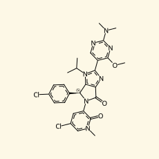 COc1nc(N(C)C)ncc1-c1nc2c(n1C(C)C)[C@H](c1ccc(Cl)cc1)N(c1cc(Cl)cn(C)c1=O)C2=O